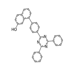 Oc1ccc2cccc(-c3ccc(-c4nc(-c5ccccc5)nc(-c5ccccc5)n4)cc3)c2c1